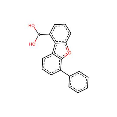 OB(O)c1cccc2oc3c(-c4ccccc4)cccc3c12